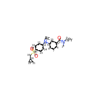 CCCN(C)C(=O)c1cccc(N(C(C)=O)c2ccc(S(=O)(=O)CC3CC3)cc2)c1